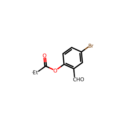 C[CH]C(=O)Oc1ccc(Br)cc1C=O